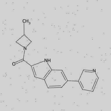 CC1CN(C(=O)c2cc3ccc(-c4cccnc4)cc3[nH]2)C1